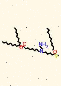 C=S=C(CCCCCN(CCN)CCCCCCCC(=O)OC(CCCCCCCC)CCCCCCCC)OCCCCCCCCCCC